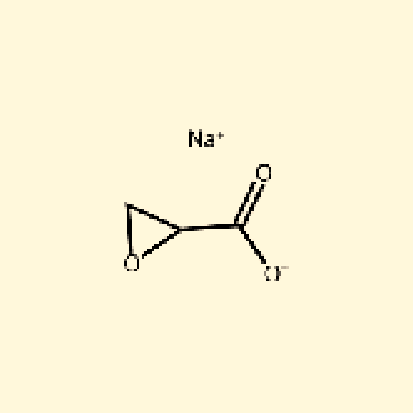 O=C([O-])C1CO1.[Na+]